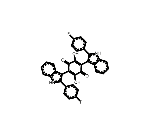 O=C1C(O)=C(c2c(-c3ccc(F)cc3)[nH]c3ccccc23)C(=O)C(O)=C1c1c(-c2ccc(F)cc2)[nH]c2ccccc12